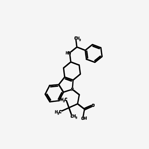 CC(NC1CCc2c(c3ccccc3n2CC(C(=O)O)C(C)(C)C)C1)c1ccccc1